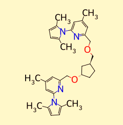 Cc1cc(COC[C@H]2CC[C@H](OCc3cc(C)cc(-n4c(C)ccc4C)n3)C2)nc(-n2c(C)ccc2C)c1